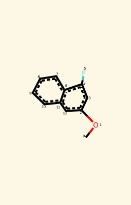 COc1cc(F)c2ccccc2c1